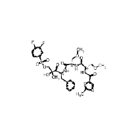 COC[C@H](NC(=O)c1cnc(C)s1)C(=O)N[C@@H](COC)C(=O)N[C@@H](Cc1ccccc1)C(=O)C(C)(O)COS(=O)(=O)c1ccc(F)c(F)c1